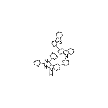 c1ccc(-c2nc(-c3ccccc3)c3c(n2)[nH]c2ccc(-c4cccc(-n5c6ccccc6c6cc(-c7cccc8c7sc7ccccc78)ccc65)c4)cc23)cc1